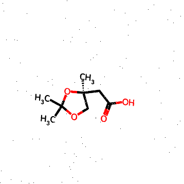 CC1(C)OC[C@](C)(CC(=O)O)O1